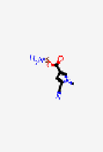 Cn1cc(C(=O)OSN)cc1C#N